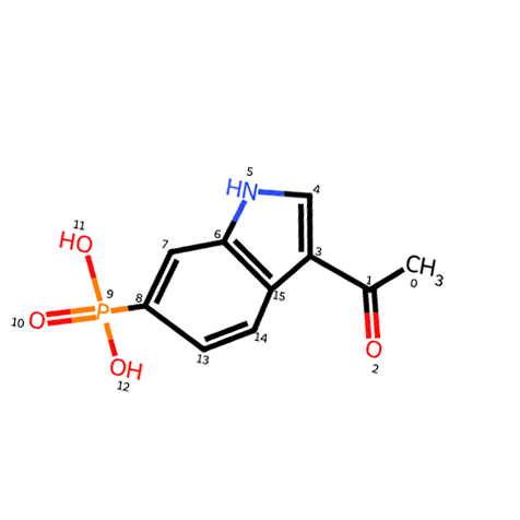 CC(=O)c1c[nH]c2cc(P(=O)(O)O)ccc12